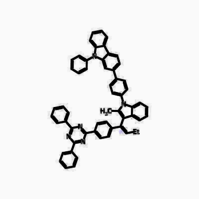 CC/C=C(/c1ccc(-c2nc(-c3ccccc3)nc(-c3ccccc3)n2)cc1)c1c(C)n(-c2ccc(-c3ccc4c5ccccc5n(-c5ccccc5)c4c3)cc2)c2ccccc12